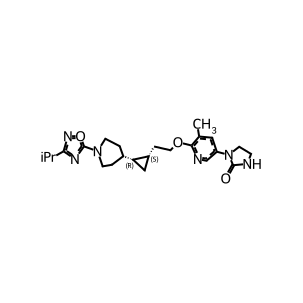 Cc1cc(N2CCNC2=O)cnc1OCC[C@@H]1C[C@@H]1C1CCN(c2nc(C(C)C)no2)CC1